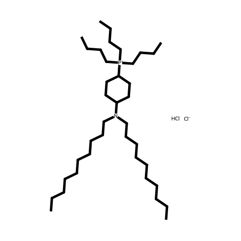 CCCCCCCCCCN(CCCCCCCCCC)C1CCC([P+](CCCC)(CCCC)CCCC)CC1.Cl.[Cl-]